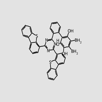 Bc1c(B)c(O)c(-c2ccccc2-c2nc(-c3cccc4c3sc3ccccc34)nc(-c3cccc4c3sc3ccccc34)n2)c(O)c1O